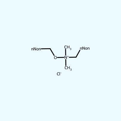 CCCCCCCCCCO[N+](C)(C)CCCCCCCCCC.[Cl-]